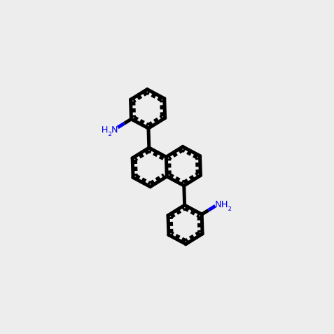 Nc1ccccc1-c1cccc2c(-c3ccccc3N)cccc12